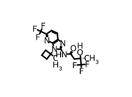 CC1(n2c(NC(=O)C[C@@](C)(O)C(F)(F)F)nc3ccc(C(F)(F)F)nc32)CCC1